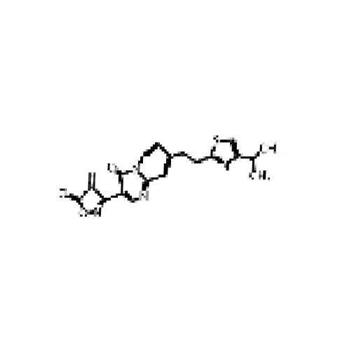 CC(C)c1csc(CCc2ccn3c(=O)c(-c4noc(=O)[nH]4)cnc3c2)n1